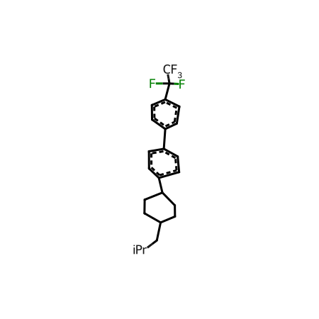 CC(C)CC1CCC(c2ccc(-c3ccc(C(F)(F)C(F)(F)F)cc3)cc2)CC1